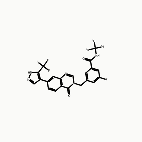 [2H]C([2H])([2H])NC(=O)c1cc(F)cc(Cn2cnc3cc(-c4cn[nH]c4C(F)(F)F)ccc3c2=O)c1